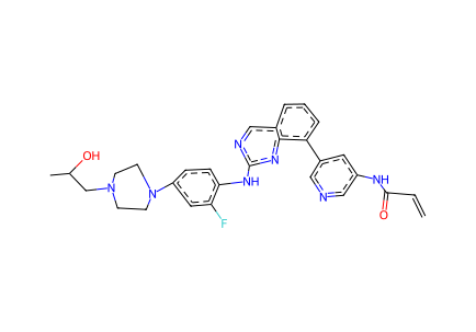 C=CC(=O)Nc1cncc(-c2cccc3cnc(Nc4ccc(N5CCN(CC(C)O)CC5)cc4F)nc23)c1